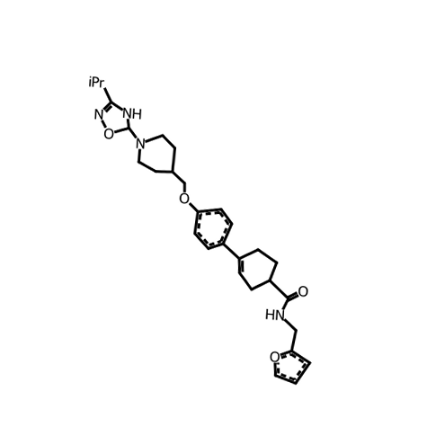 CC(C)C1=NOC(N2CCC(COc3ccc(C4=CCC(C(=O)NCc5ccco5)CC4)cc3)CC2)N1